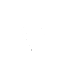 Cc1ccc(C(C)Oc2nccnc2-c2ccc(N)cc2)c(Cl)c1